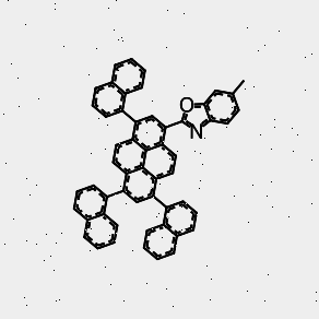 Cc1ccc2nc(-c3cc(-c4cccc5ccccc45)c4ccc5c(-c6cccc7ccccc67)cc(-c6cccc7ccccc67)c6ccc3c4c65)oc2c1